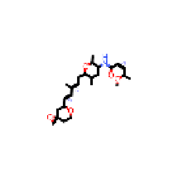 COC(C)/C=C\C(=O)NC1CC(C)C(C/C=C(C)/C=C/C2CC3(CCO2)CO3)OC1C